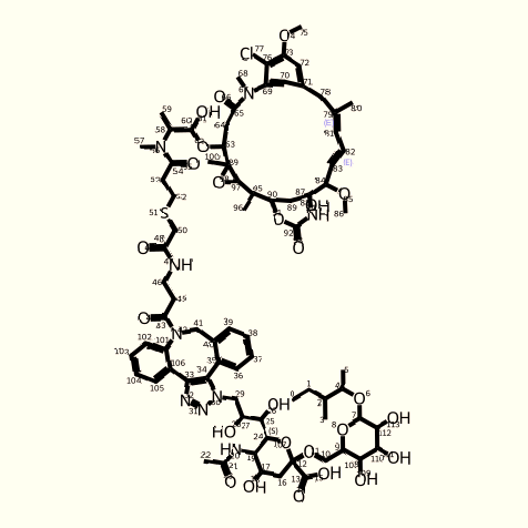 CCC(C)C(C)OC1OC(COC2(C(=O)O)CC(O)C(NC(C)=O)[C@@H](C(O)C(O)Cn3nnc4c3-c3ccccc3CN(C(=O)CCNC(=O)CSCCC(=O)N(C)C(C)C(O)OC3CC(=O)N(C)c5cc(cc(OC)c5Cl)C/C(C)=C/C=C/C(OC)C5(O)CC(OC(=O)N5)C(C)C5OC35C)c3ccccc3-4)O2)C(O)C(O)C1O